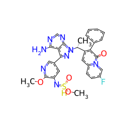 COc1ncc(-c2nn([C@H](C)c3cc4ccc(F)cn4c(=O)c3-c3ccccc3)c3ncnc(N)c23)cc1N=[SH](=O)OC